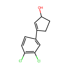 OC1C=C(c2ccc(Cl)c(Cl)c2)CC1